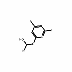 CCC(O)Oc1cc(I)cc(F)n1